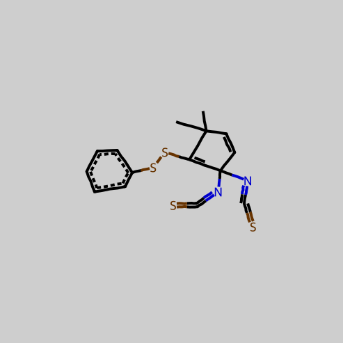 CC1(C)C=CC(N=C=S)(N=C=S)C=C1SSc1ccccc1